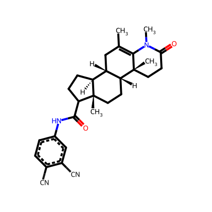 CC1=C2N(C)C(=O)CC[C@]2(C)[C@@H]2CC[C@]3(C)C(C(=O)Nc4ccc(C#N)c(C#N)c4)CC[C@H]3[C@@H]2C1